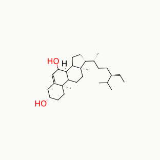 CC[C@H](CC[C@@H](C)[C@H]1CCC2[C@@H]3C(O)C=C4C[C@@H](O)CC[C@]4(C)C3CC[C@@]21C)C(C)C